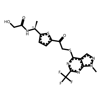 C[C@H](NC(=O)CO)c1ccc(C(=O)CSc2nc(C(F)(F)F)nc3c2cnn3C)s1